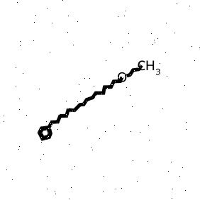 CCCCOCCCCCCCCCCCCCCCCc1ccccc1